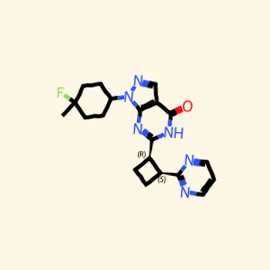 CC1(F)CCC(n2ncc3c(=O)[nH]c([C@@H]4CC[C@@H]4c4ncccn4)nc32)CC1